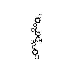 CC1(CNC(=O)COc2ccc(Cl)cc2)CCN(C(=O)COc2ccc(Cl)cc2)C1